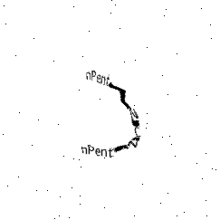 CCCCCCCN=C=NCCCCC